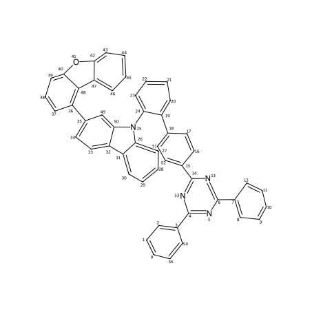 c1ccc(-c2nc(-c3ccccc3)nc(-c3ccc(-c4ccccc4-n4c5ccccc5c5ccc(-c6cccc7oc8ccccc8c67)cc54)cc3)n2)cc1